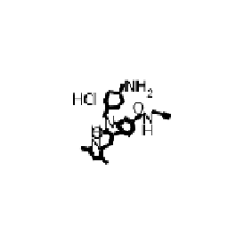 C#CCNC(=O)c1ccc2c(c1)N(CC1CCC(CN)CC1)C(=O)/C2=C\c1[nH]c(C)cc1C.Cl